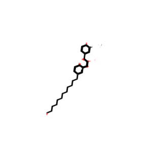 COc1cc(-c2oc3ccc(CCCCCCCCCCCCO)cc3c(=O)c2O)ccc1O